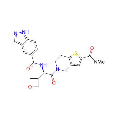 CNC(=O)c1cc2c(s1)CCN(C(=O)[C@H](NC(=O)c1ccc3[nH]ncc3c1)C1COC1)C2